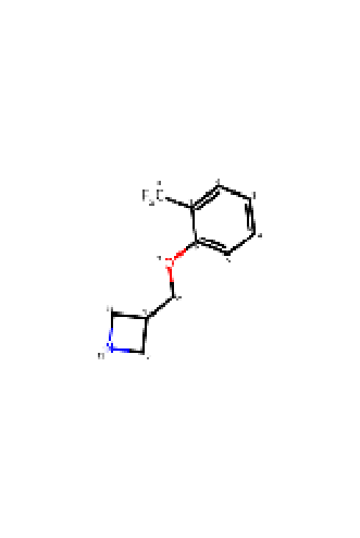 FC(F)(F)c1ccccc1OCC1C[N]C1